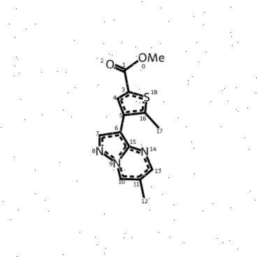 COC(=O)c1cc(-c2cnn3cc(C)cnc23)c(C)s1